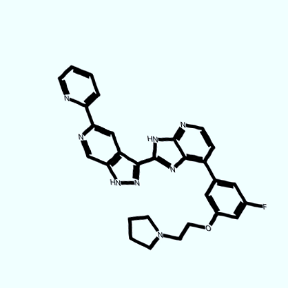 Fc1cc(OCCN2CCCC2)cc(-c2ccnc3[nH]c(-c4n[nH]c5cnc(-c6ccccn6)cc45)nc23)c1